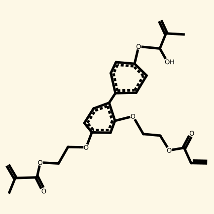 C=CC(=O)OCCOc1cc(OCCOC(=O)C(=C)C)ccc1-c1ccc(OC(O)C(=C)C)cc1